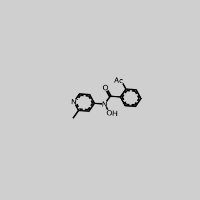 CC(=O)c1ccccc1C(=O)N(O)c1ccnc(C)c1